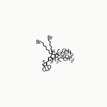 CC(C)[Si](c1cc2c(s1)-c1sc(-c3scc4c3OCCO4)cc1C2(CCCCCCBr)CCCCCCBr)(C(C)C)C(C)C